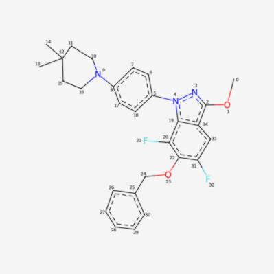 COc1nn(-c2ccc(N3CCC(C)(C)CC3)cc2)c2c(F)c(OCc3ccccc3)c(F)cc12